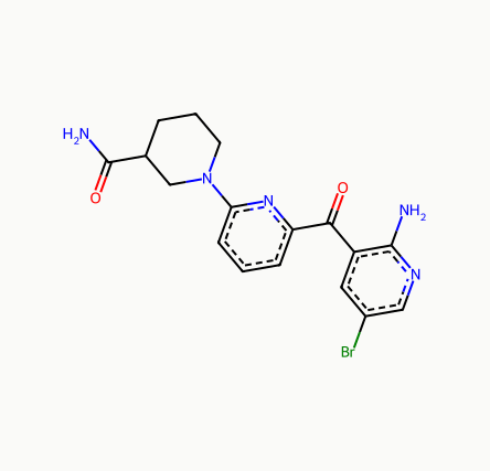 NC(=O)C1CCCN(c2cccc(C(=O)c3cc(Br)cnc3N)n2)C1